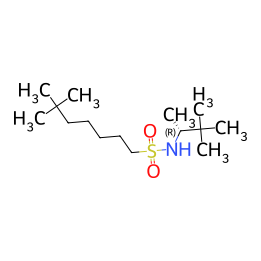 C[C@@H](NS(=O)(=O)CCCCCC(C)(C)C)C(C)(C)C